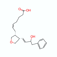 O=C(O)CCC/C=C\C[C@H]1COC[C@H]1/C=C/C(O)Cc1ccccc1